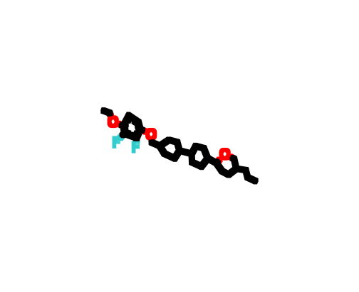 CCCC1CCC(C2CCC(C3CCC(COc4ccc(OCC)c(F)c4F)CC3)CC2)OC1